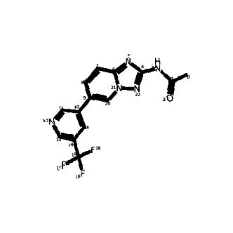 CC(=O)Nc1nc2ccc(-c3cncc(C(F)(F)F)c3)cn2n1